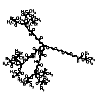 CC(C)(C)OC(=O)NCCOCCOCCOCCOCC(CCC(=O)CCNC(=O)COCC(COC(=O)C(C)(C)C)(COC(=O)C(C)(C)Br)COC(=O)C(C)(C)Br)(CNC(=O)CCNC(=O)COCC(COC(=O)C(C)(C)Br)(COC(=O)C(C)(C)Br)COC(=O)C(C)(C)Br)CNC(=O)CCNC(=O)COCC(COC(=O)C(C)(C)Br)(COC(=O)C(C)(C)Br)COC(=O)C(C)(C)Br